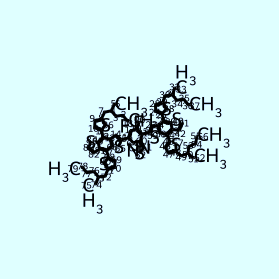 CCCCC(CC)Cc1ccc(-c2c3cc(-c4c(F)c(F)c(-c5cc6c(-c7ccc(CC(CC)CCCC)s7)c7sccc7c(-c7ccc(CC(CC)CCCC)s7)c6s5)c5nsnc45)sc3c(-c3ccc(CC(CC)CCCC)s3)c3ccsc23)s1